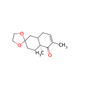 CC1=CCC2CC3(CC[C@]2(C)C1=O)OCCO3